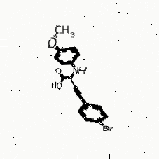 COc1ccc(N[C@@H](C#Cc2ccc(Br)cc2)C(=O)O)cc1